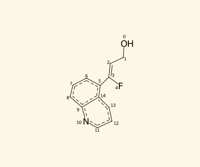 OCC=C(F)c1cccc2ncccc12